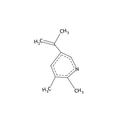 C=C(C)c1cnc(C)c(C)c1